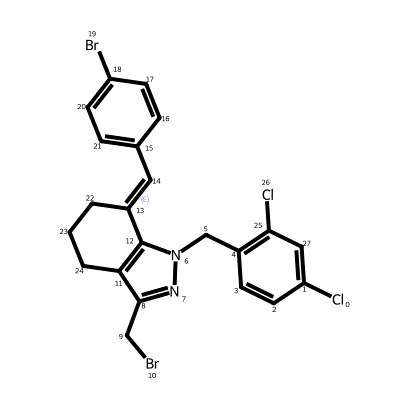 Clc1ccc(Cn2nc(CBr)c3c2/C(=C/c2ccc(Br)cc2)CCC3)c(Cl)c1